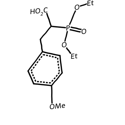 CCOP(=O)(OCC)C(Cc1ccc(OC)cc1)C(=O)O